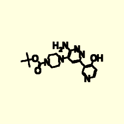 CC(C)(C)OC(=O)N1CCN(c2cc(-c3cnccc3O)nnc2N)CC1